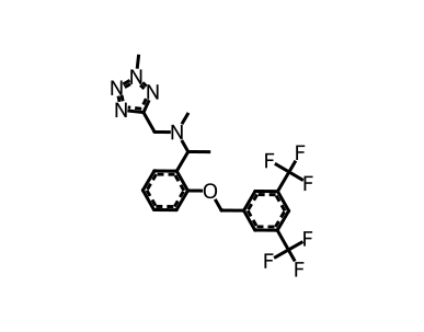 CC(c1ccccc1OCc1cc(C(F)(F)F)cc(C(F)(F)F)c1)N(C)Cc1nnn(C)n1